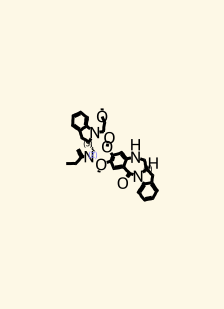 C=C(CC)/N=C\[C@@H]1Cc2ccccc2N1C(COC)OOc1cc2c(cc1OC)C(=O)N1c3ccccc3C[C@H]1CN2